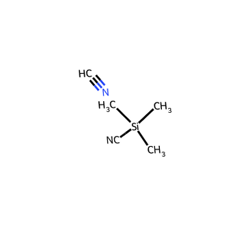 C#N.C[Si](C)(C)C#N